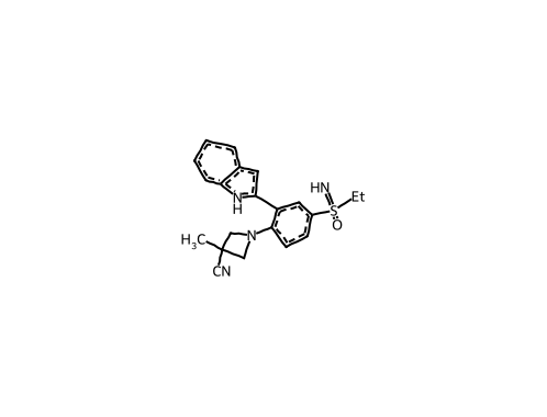 CCS(=N)(=O)c1ccc(N2CC(C)(C#N)C2)c(-c2cc3ccccc3[nH]2)c1